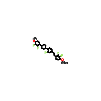 CCCCCCOc1ccc(/C=C/c2ccc(C3CCC(c4ccc(OCCC)c(F)c4F)CC3)c(F)c2)c(F)c1F